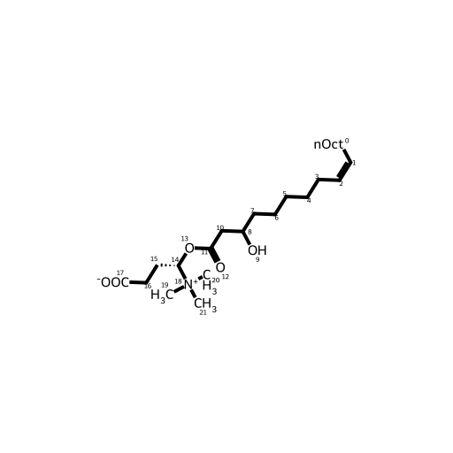 CCCCCCCC/C=C\CCCCCC(O)CC(=O)O[C@@H](CCC(=O)[O-])[N+](C)(C)C